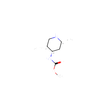 C[C@@H]1C[C@@H](NC(=O)OC(C)(C)C)[C@H](C)CN1